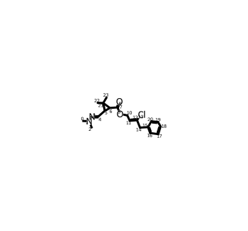 CN(C)N=CC1C(C(=O)OCC=C(Cl)Cc2ccccc2)C1(C)C